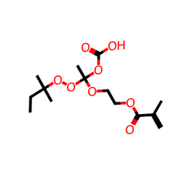 C=C(C)C(=O)OCCOC(C)(OOC(C)(C)CC)OC(=O)O